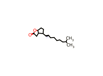 CC(C)CCCCC/C=C/C1CCC2OC(=O)CC12